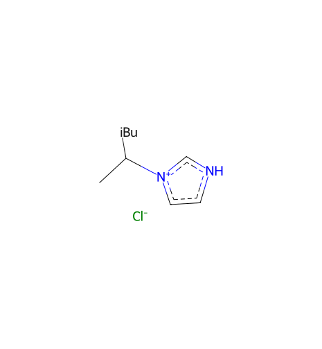 CCC(C)C(C)[n+]1cc[nH]c1.[Cl-]